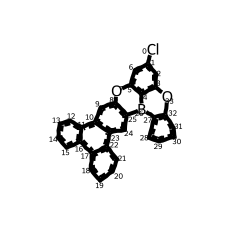 Clc1cc2c3c(c1)Oc1cc4c5ccccc5c5ccccc5c4cc1B3c1ccccc1O2